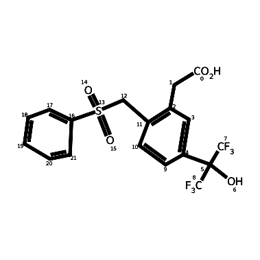 O=C(O)Cc1cc(C(O)(C(F)(F)F)C(F)(F)F)ccc1CS(=O)(=O)c1ccccc1